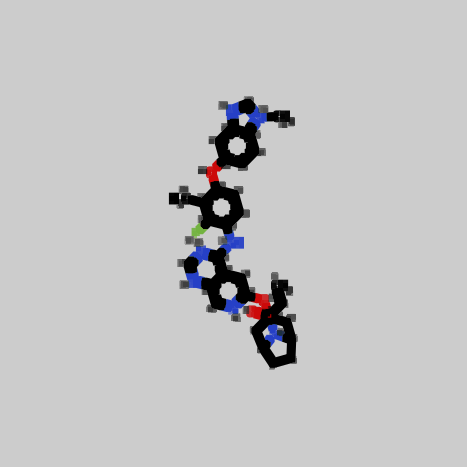 C=CC(=O)N1C2CCC1CC(Oc1cc3c(Nc4ccc(Oc5ccc6c(c5)ncn6C)c(C)c4F)ncnc3cn1)C2